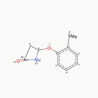 CSc1ccccc1OC1CC(=O)N1